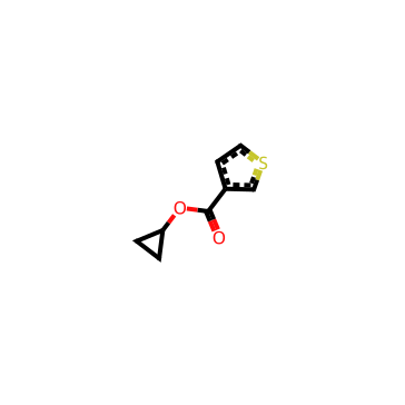 O=C(OC1CC1)c1ccsc1